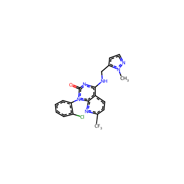 Cn1nccc1CNc1nc(=O)n(-c2ccccc2Cl)c2nc(C(F)(F)F)ccc12